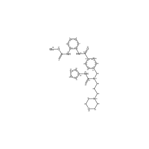 C=C(Nc1ccccc1NC(=O)c1ccc(CN(CCCN2CCOCC2)C(=C)Nc2ccsc2)cn1)OC(C)(C)C